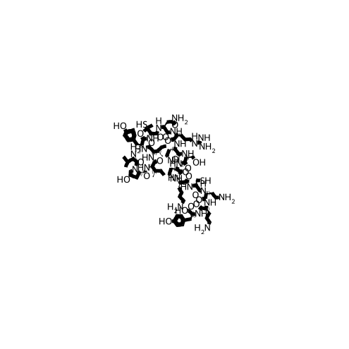 CC[C@H](C)[C@H](NC(=O)[C@@H](NC(=O)[C@@H]1C[C@@H](O)CN1C(=O)[C@@H](N)C(C)C)[C@@H](C)CC)C(=O)N[C@@H](Cc1ccc(O)cc1)C(=O)N[C@H](C(=O)N[C@@H](CC(N)=O)C(=O)N[C@@H](CCCNC(=N)N)C(=O)N[C@@H](CCN)C(=O)N[C@@H](CO)C(=O)N[C@H](CCN)C(=O)N[C@@H](CCCCN)C(=O)N[C@@H](CS)C(=O)N[C@@H](CCN)C(=O)N[C@@H](CCCN)C(=O)N[C@@H](Cc1ccc(O)cc1)C(=O)O)C(C)(C)S